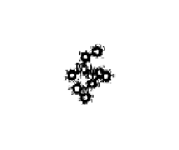 c1ccc(-c2cccc(-c3nc(-c4ccccc4)nc(-n4c5cc(-n6c7ccccc7c7ccccc76)ccc5c5c6ccccc6ccc54)n3)c2)cc1